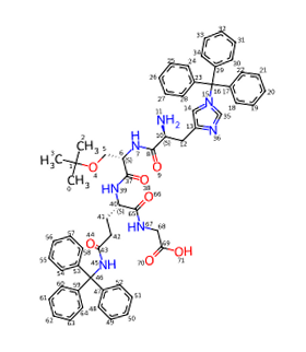 CC(C)(C)OC[C@H](NC(=O)[C@@H](N)Cc1cn(C(c2ccccc2)(c2ccccc2)c2ccccc2)cn1)C(=O)N[C@@H](CCC(=O)NC(c1ccccc1)(c1ccccc1)c1ccccc1)C(=O)NCC(=O)O